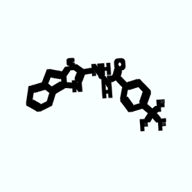 O=C(NNc1nc2c(s1)=CC1=CC=CCC=21)c1ccc(C(F)(F)F)cc1